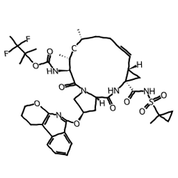 C[C@@H]1CC/C=C\[C@@H]2C[C@@]2(C(=O)NS(=O)(=O)C2(C)CC2)NC(=O)[C@@H]2C[C@@H](Oc3nc4c(c5ccccc35)CCCO4)CN2C(=O)[C@@H](NC(=O)OC(C)(C)C(C)(F)F)[C@H](C)C1